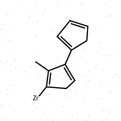 CC1=[C]([Zr])CC=C1C1=CC=CC1